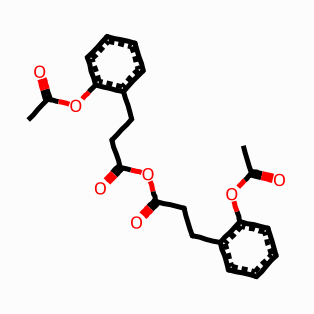 CC(=O)Oc1ccccc1CCC(=O)OC(=O)CCc1ccccc1OC(C)=O